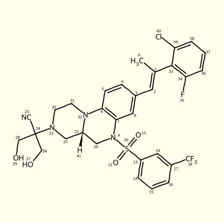 C/C(=C\c1ccc2c(c1)N(S(=O)(=O)c1cccc(C(F)(F)F)c1)C[C@@H]1CN(C(C#N)(CO)CO)CCN21)c1c(F)cccc1Cl